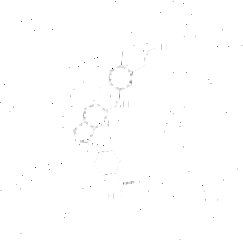 COc1cc2c(cc1Nc1ncc3cnn(C4CCC(C(=O)O)CC4)c3n1)CN(C)CC2